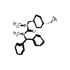 CN(C[C@H]1CC[C@H](CO)CC1)C(=O)N(C)C(c1ccccc1)c1ccccc1